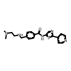 CN(C)CCNCc1ccc(C(=O)Nc2cnc(-c3ccncc3)s2)cc1